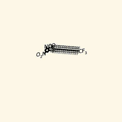 CCC(C)c1cc([N+](=O)[O-])cc([N+](=O)[O-])c1OC(=O)OC(F)(F)C(F)(F)C(F)(F)C(F)(F)C(F)(F)C(F)(F)C(F)(F)C(F)(F)C(F)(F)C(F)(F)C(F)(F)C(F)(F)C(F)(F)C(F)(F)F